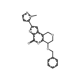 Cn1nccc1-c1cc2c3c(oc(=O)c2s1)C(OCc1ccccc1)COC3